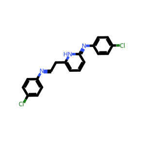 Clc1ccc(N=CCc2cccc(=Nc3ccc(Cl)cc3)[nH]2)cc1